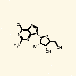 Nc1nc(Cl)c2ncn([C@@H]3O[C@@H](CO)[C@H](O)[C@@H]3O)c2n1